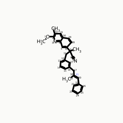 COc1nc2cc(C(C)(C#N)Cc3cccc(C/C(C)=C/c4ccccc4)c3)ccc2cc1C